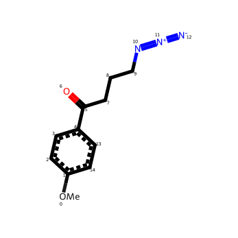 COc1ccc(C(=O)CCCN=[N+]=[N-])cc1